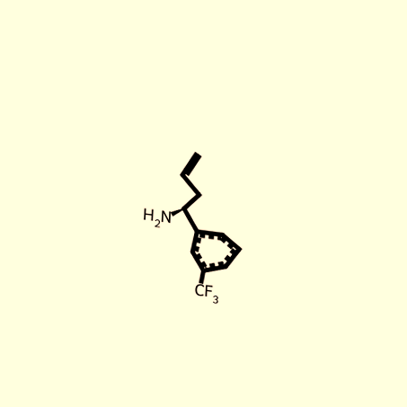 C=CC[C@H](N)c1cccc(C(F)(F)F)c1